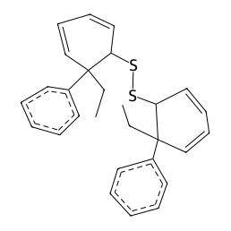 CCC1(c2ccccc2)C=CC=CC1SSC1C=CC=CC1(CC)c1ccccc1